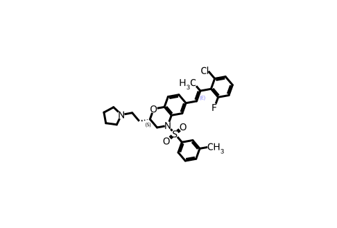 C/C(=C\c1ccc2c(c1)N(S(=O)(=O)c1cccc(C)c1)C[C@H](CCN1CCCC1)O2)c1c(F)cccc1Cl